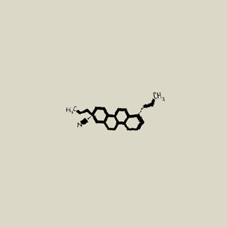 CCC[C@@H]1CCCC2C3CCC4C[C@@](C#N)(CCC)CCC4C3CCC21